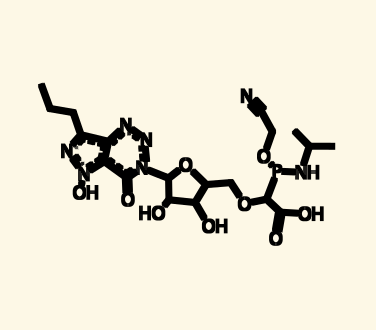 CCCc1nn(O)c2c(=O)n(C3OC(COC(C(=O)O)P(NC(C)C)OCC#N)C(O)C3O)nnc12